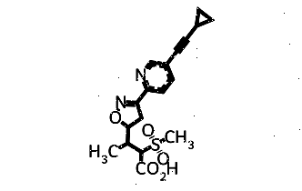 CC(C1CC(c2ccc(C#CC3CC3)cn2)=NO1)C(C(=O)O)S(C)(=O)=O